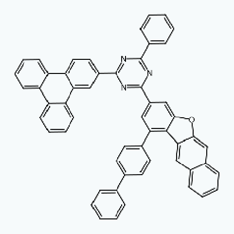 c1ccc(-c2ccc(-c3cc(-c4nc(-c5ccccc5)nc(-c5ccc6c7ccccc7c7ccccc7c6c5)n4)cc4oc5cc6ccccc6cc5c34)cc2)cc1